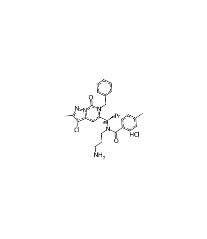 Cc1ccc(C(=O)N(CCCN)[C@@H](c2cc3c(Cl)c(C)nn3c(=O)n2Cc2ccccc2)C(C)C)cc1.Cl